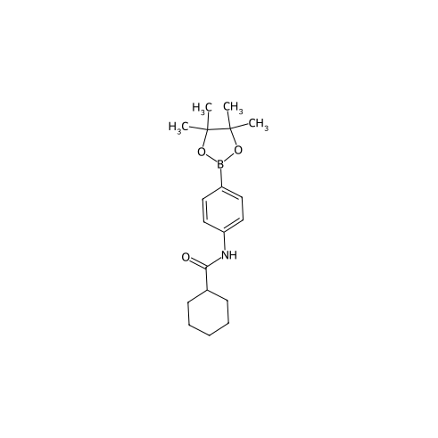 CC1(C)OB(c2ccc(NC(=O)C3CCCCC3)cc2)OC1(C)C